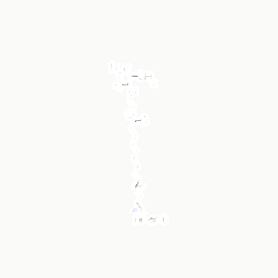 C=C(C)C(=O)OCCOC(=O)CCCCCCC/C=C/C/C=C/CCCCC